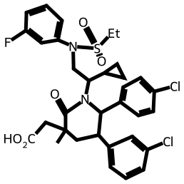 CCS(=O)(=O)N(CC(C1CC1)N1C(=O)C(C)(CC(=O)O)CC(c2cccc(Cl)c2)C1c1ccc(Cl)cc1)c1cccc(F)c1